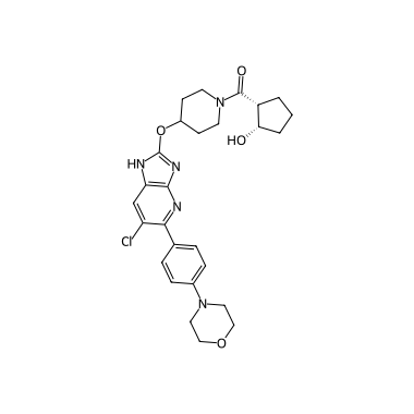 O=C([C@@H]1CCC[C@@H]1O)N1CCC(Oc2nc3nc(-c4ccc(N5CCOCC5)cc4)c(Cl)cc3[nH]2)CC1